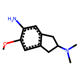 COc1cc2c(cc1N)CC(N(C)C)C2